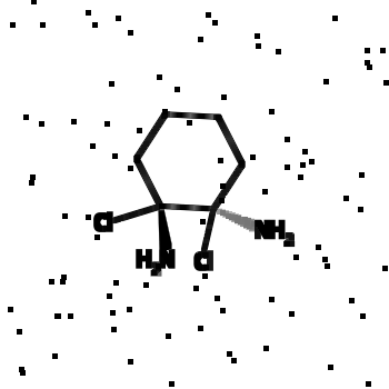 N[C@@]1(Cl)CCCC[C@@]1(N)Cl